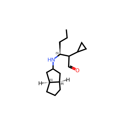 CCC[C@H](NC1C[C@H]2CCC[C@H]2C1)C(C=O)C1CC1